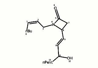 CCCC/C=C\CN1C(=O)CC1/C=C/C(O)CCCCC